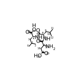 CC(C)C[C@H](NC(=O)[C@@H](CC(C)C)NC(=O)[C@@H](N)CC(=O)O)C(=O)O